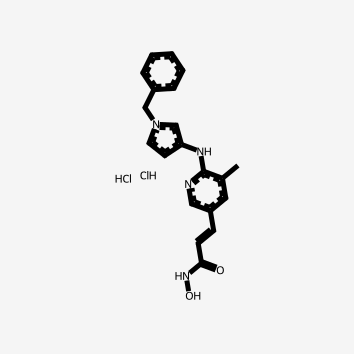 Cc1cc(/C=C/C(=O)NO)cnc1Nc1ccn(Cc2ccccc2)c1.Cl.Cl